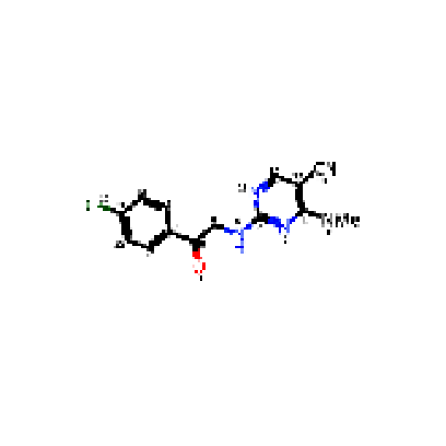 CNc1nc(NCC(=O)c2ccc(Cl)cc2)ncc1C#N